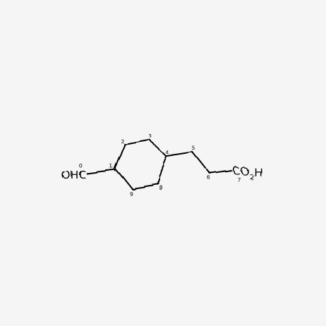 O=CC1CCC(CCC(=O)O)CC1